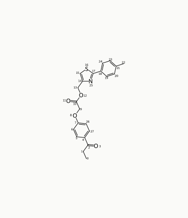 CCC(=O)c1ccc(OCC(=O)OCc2csc(-c3ccc(C)cc3)n2)cc1